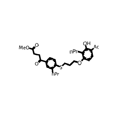 CCCc1cc(C(=O)CCC(=O)OC)ccc1SCCCOc1ccc(C(C)=O)c(O)c1CCC